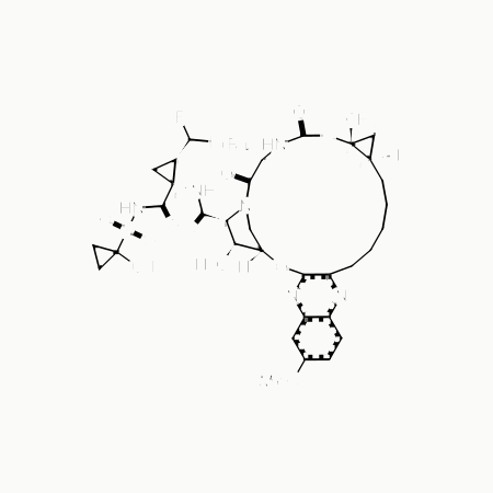 COc1ccc2nc3c(nc2c1)O[C@H]1CN(C(=O)[C@H](C(C)(C)C)NC(=O)O[C@]2(C)C[C@H]2CCCCC3)[C@H](C(=O)N[C@]2(C(=O)NS(=O)(=O)C3(C)CC3)C[C@H]2C(F)F)[C@@H]1C